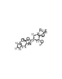 COc1cc(C2=NC(=Cc3cccs3)C(=O)O2)ccc1OC(F)F